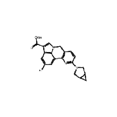 COC(=O)c1cn2c3c(cc(Br)cc13)-c1nc(N3CC4CC4C3)ccc1C2